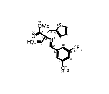 C=C[C@](Cc1cccs1)(N=Cc1cc(C(F)(F)F)cc(C(F)(F)F)c1)C(=O)OC